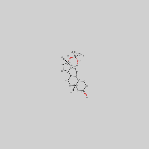 CC1(C)OC[C@]23CCC4C(CC[C@H]5CC(=O)CCC45)C2CC[C@@H]3O1